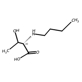 CCCCN[C@H](C(=O)O)C(C)O